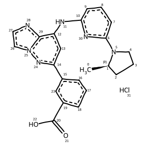 C[C@@H]1CCCN1c1cccc(Nc2cc(-c3cccc(C(=O)O)c3)nn3ccnc23)n1.Cl